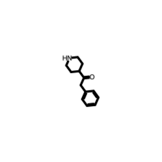 O=C(Cc1ccccc1)C1CCNCC1